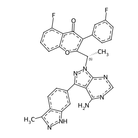 Cc1n[nH]c2cc(-c3nn([C@@H](C)c4oc5cccc(F)c5c(=O)c4-c4cccc(F)c4)c4ncnc(N)c34)ccc12